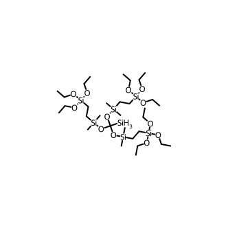 CCO[Si](CC[Si](C)(C)OC([SiH3])(O[Si](C)(C)CC[Si](OCC)(OCC)OCC)O[Si](C)(C)CC[Si](OCC)(OCC)OCC)(OCC)OCC